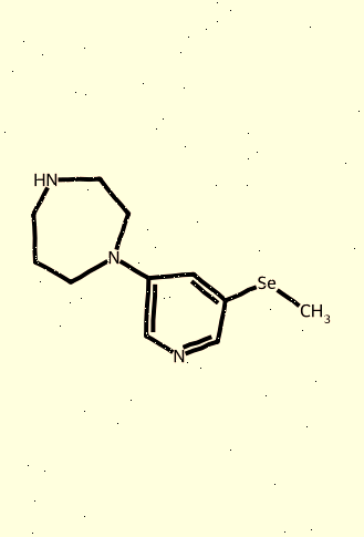 C[Se]c1cncc(N2CCCNCC2)c1